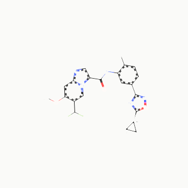 COc1cc2ncc(C(=O)Nc3cc(-c4noc([C@H]5C[C@@H]5F)n4)ccc3C)n2cc1C(F)F